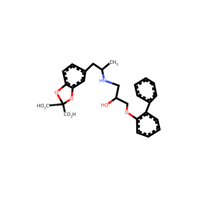 CC(Cc1ccc2c(c1)OC(C(=O)O)(C(=O)O)O2)NCC(O)COc1ccccc1-c1ccccc1